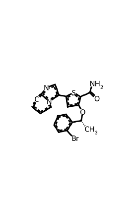 C[C@@H](Oc1cc(-c2cnc3ccccn23)sc1C(N)=O)c1ccccc1Br